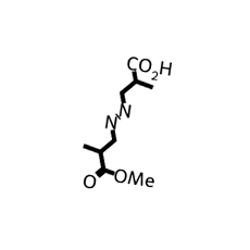 COC(=O)C(C)CN=NCC(C)C(=O)O